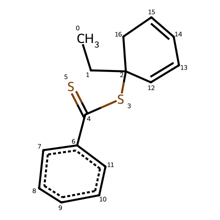 CCC1(SC(=S)c2ccccc2)C=CC=CC1